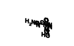 Nc1ccc(COc2nn3c(-c4cc(CO)on4)nnc3c3ccccc23)nc1